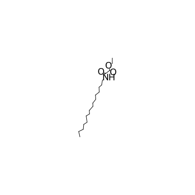 CCCCCCCCCCCCCCCCNC(=O)C(=O)OCC